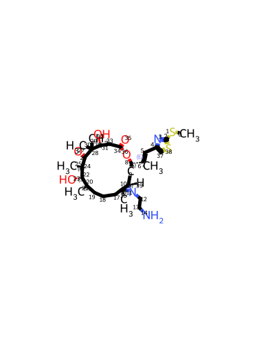 CSc1nc(/C=C(\C)[C@@H]2C[C@@H]3N(CCN)[C@]3(C)CCC[C@H](C)[C@H](O)[C@@H](C)C(=O)C(C)(C)[C@@H](O)CC(=O)O2)cs1